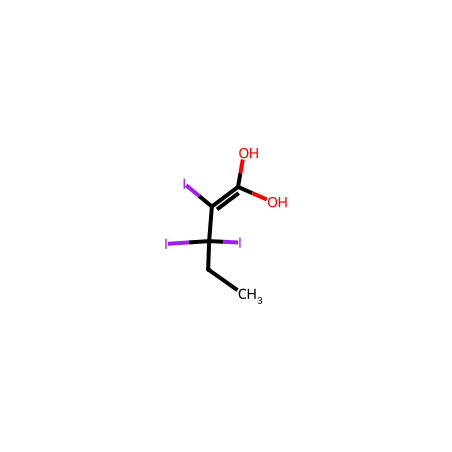 CCC(I)(I)C(I)=C(O)O